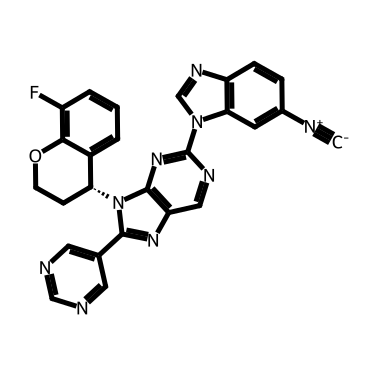 [C-]#[N+]c1ccc2ncn(-c3ncc4nc(-c5cncnc5)n([C@@H]5CCOc6c(F)cccc65)c4n3)c2c1